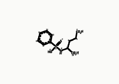 O=C(O)CCC(NP(O)(=S)c1ccccc1)C(=O)O